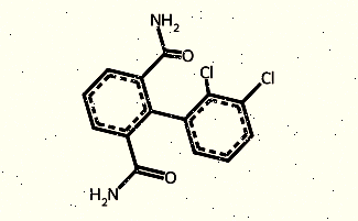 NC(=O)c1cccc(C(N)=O)c1-c1cccc(Cl)c1Cl